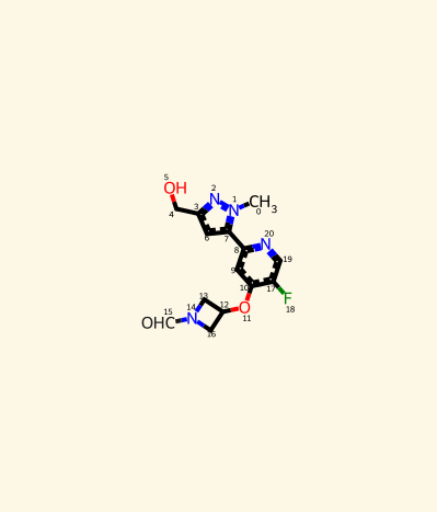 Cn1nc(CO)cc1-c1cc(OC2CN(C=O)C2)c(F)cn1